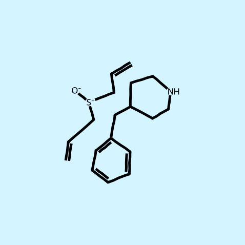 C=CC[S+]([O-])CC=C.c1ccc(CC2CCNCC2)cc1